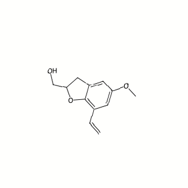 C=Cc1cc(OC)cc2c1OC(CO)C2